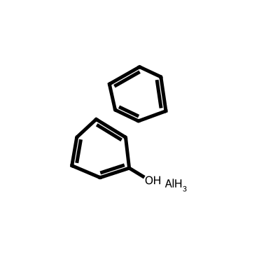 Oc1ccccc1.[AlH3].c1ccccc1